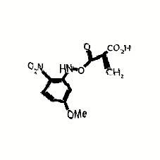 C=C(C(=O)O)C(=O)ONc1cc(OC)ccc1[N+](=O)[O-]